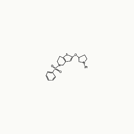 CC(C)N1CCC(Oc2cc3c(s2)CCN(S(=O)(=O)c2ccccc2)C3)C1